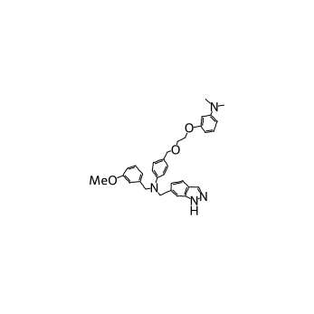 COc1cccc(CN(Cc2ccc3cn[nH]c3c2)c2ccc(COCCOc3cccc(N(C)C)c3)cc2)c1